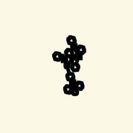 c1ccc(N(c2ccccc2)c2ccc3c(c2)C2(c4ccccc4-c4cnccc42)c2cc(-c4ccc(N5c6ccccc6Oc6ccccc65)cc4)ccc2N3c2ccccc2)cc1